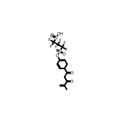 C=C(C)C(=O)CC(=O)C1C=CC(OS(=O)(=O)C(F)(F)C(F)(F)C(F)(F)S(=O)(=O)O)=CC1